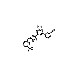 CC(=O)c1cccc(Cn2cc(-c3cc(-c4cccc(C#N)c4)nc(N)n3)nn2)n1